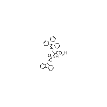 O=C(N[C@@H](CCSC(c1ccccc1)(c1ccccc1)c1ccccc1)C(=O)O)OCC1c2ccccc2-c2ccccc21